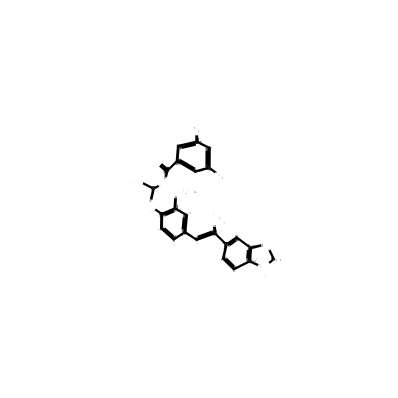 CCCCCCCCCCC(OC(=O)c1cc(N)cc(N)c1)Oc1ccc(/C=C(\C#N)c2ccc3c(c2)OCO3)cc1OC